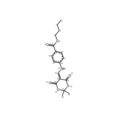 CCCCOC(=O)c1ccc(NC=C2C(=O)OC(C)(C)OC2=O)cc1